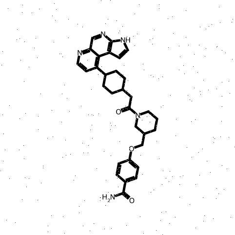 NC(=O)c1ccc(OCC2CCCN(C(=O)CC3CCC(c4ccnc5cnc6[nH]ccc6c45)CC3)C2)cc1